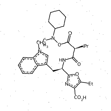 CCc1oc([C@@H](Cc2cn(C)c3ccccc23)NC(=O)[C@@H](C(=O)ON(C)C2CCCCC2)C(C)C)nc1C(=O)O